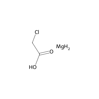 O=C(O)CCl.[MgH2]